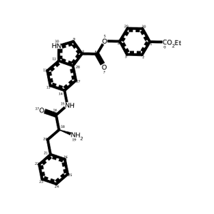 CCOC(=O)c1ccc(OC(=O)c2c[nH]c3ccc(NC(=O)[C@@H](N)Cc4ccccc4)cc23)cc1